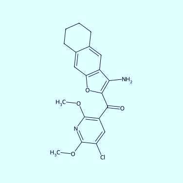 COc1nc(OC)c(C(=O)c2oc3cc4c(cc3c2N)CCCC4)cc1Cl